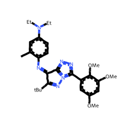 CCN(CC)c1ccc(/N=C2/C(C(C)(C)C)=Nn3c2nnc3-c2cc(OC)cc(OC)c2OC)c(C)c1